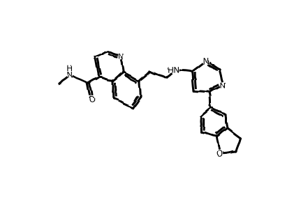 CNC(=O)c1ccnc2c(CCNc3cc(-c4ccc5c(c4)CCO5)ncn3)cccc12